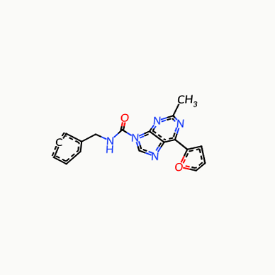 Cc1nc(-c2ccco2)c2ncn(C(=O)NCc3ccccc3)c2n1